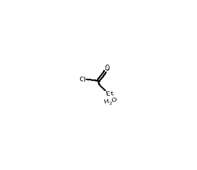 CCC(=O)Cl.O